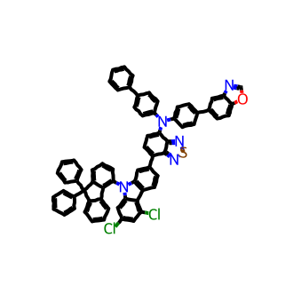 Clc1cc(Cl)c2c3ccc(-c4ccc(N(c5ccc(-c6ccccc6)cc5)c5ccc(-c6ccc7ocnc7c6)cc5)c5nsnc45)cc3n(-c3cccc4c3-c3ccccc3C4(c3ccccc3)c3ccccc3)c2c1